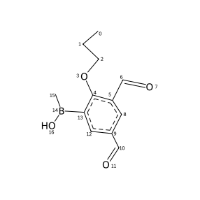 CCCOc1c(C=O)cc(C=O)cc1B(C)O